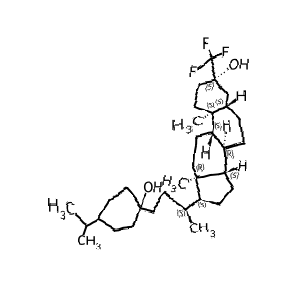 CC(C)C1CCC(O)(CC[C@H](C)[C@@H]2CC[C@H]3[C@@H]4CC[C@H]5C[C@](O)(C(F)(F)F)CC[C@]5(C)[C@H]4CC[C@@]32C)CC1